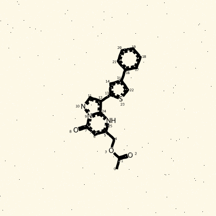 CC(=O)OCc1cc(=O)n2ncc(-c3cc(-c4ccccc4)cs3)c2[nH]1